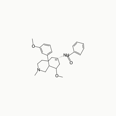 COc1cccc(C23CCN(C)CC2C(OC)C[C@@H](NC(=O)c2ccccc2)C3)c1